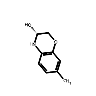 Cc1ccc2c(c1)OC[C@@H](O)N2